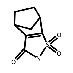 O=C1NS(=O)(=O)C2=C1C1CCC2C1